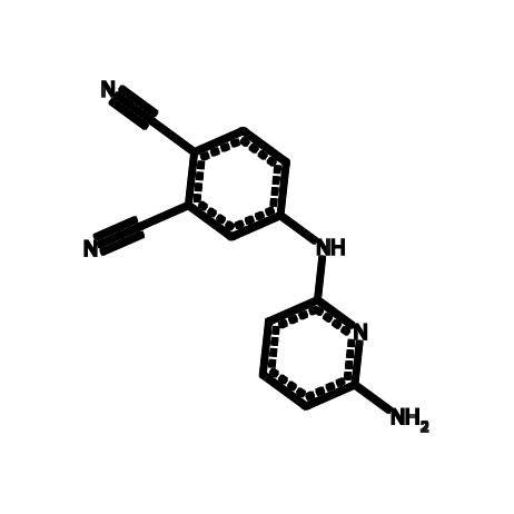 N#Cc1ccc(Nc2cccc(N)n2)cc1C#N